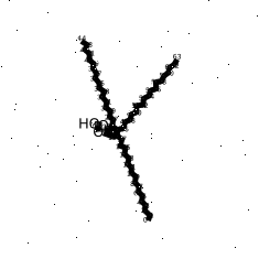 CCCCCCCCCCCCCCCCCCc1ccc(OP(O)O)c(CCCCCCCCCCCCCCCCCC)c1CCCCCCCCCCCCCCCCCC